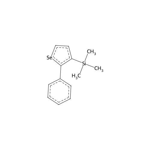 C[Si](C)(C)c1cc[se]c1-c1ccccc1